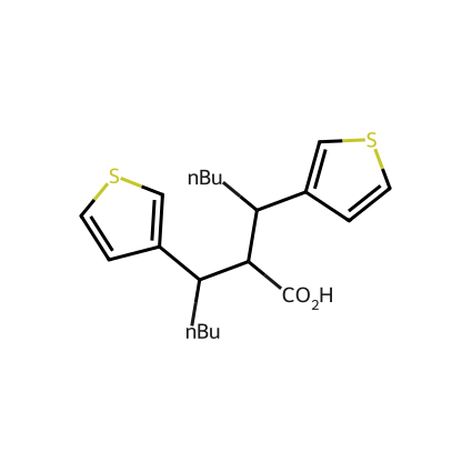 CCCCC(c1ccsc1)C(C(=O)O)C(CCCC)c1ccsc1